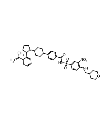 C=C(C)c1ccccc1C1CCCN1C1CCC(c2ccc(C(=O)NS(=O)(=O)c3ccc(NCC4CCOCC4)c([N+](=O)[O-])c3)cc2)CC1